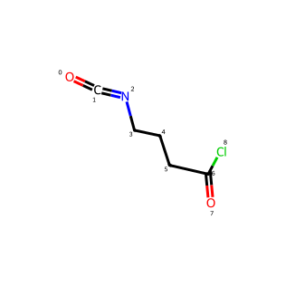 O=C=NCCCC(=O)Cl